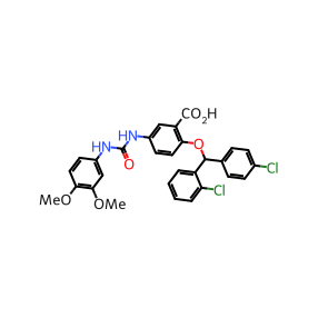 COc1ccc(NC(=O)Nc2ccc(OC(c3ccc(Cl)cc3)c3ccccc3Cl)c(C(=O)O)c2)cc1OC